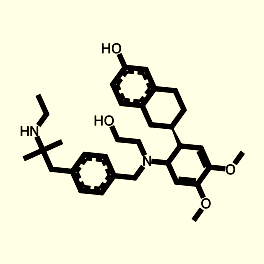 CCNC(C)(C)Cc1ccc(CN(CCO)C2C=C(OC)C(OC)=CC2[C@@H]2CCc3cc(O)ccc3C2)cc1